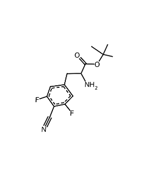 CC(C)(C)OC(=O)C(N)Cc1cc(F)c(C#N)c(F)c1